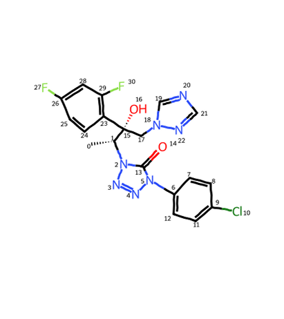 C[C@@H](n1nnn(-c2ccc(Cl)cc2)c1=O)[C@](O)(Cn1cncn1)c1ccc(F)cc1F